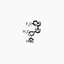 C[C@@H]1CN(c2ccnc(-c3cnc4ccc(C(F)(F)F)cn34)n2)C[C@H](c2cn[nH]c2)O1